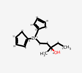 CCC(C)(O)C[CH2][Zr]([C]1=CC=CC1)[C]1=CC=CC1